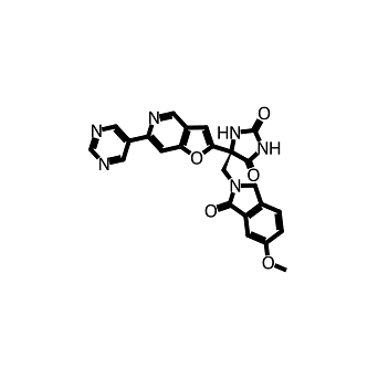 COc1ccc2c(c1)C(=O)N(C[C@@]1(c3cc4cnc(-c5cncnc5)cc4o3)NC(=O)NC1=O)C2